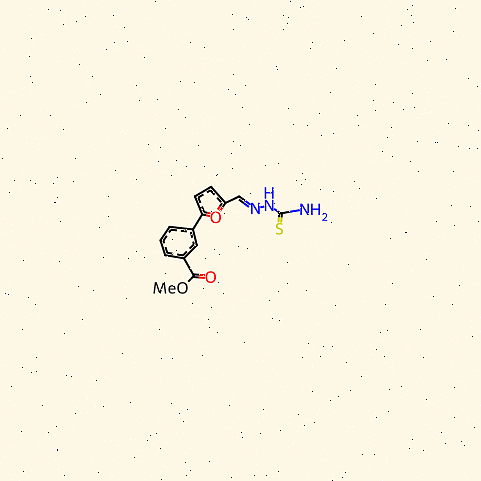 COC(=O)c1cccc(-c2ccc(C=NNC(N)=S)o2)c1